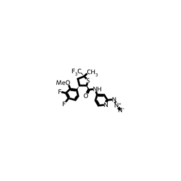 COc1c([C@@H]2C[C@](C)(C(F)(F)F)S[C@H]2C(=O)Nc2ccnc(N=[N+]=[N-])c2)ccc(F)c1F